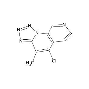 Cc1c(Cl)c2ccncc2n2nnnc12